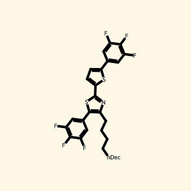 CCCCCCCCCCCCCCc1nc(-c2ccc(-c3cc(F)c(F)c(F)c3)s2)sc1-c1cc(F)c(F)c(F)c1